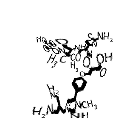 Cn1c(-c2ccc(OCC(O/N=C(\C(=O)N[C@@H]3C(=O)N(OS(=O)(=O)O)C3(C)C)c3csc(N)n3)C(=O)O)cc2)cn(CC(CN)CN)c1=N